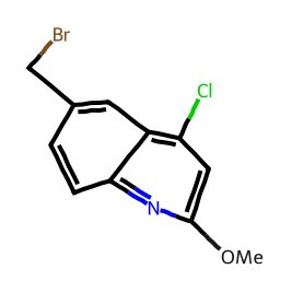 COc1cc(Cl)c2cc(CBr)ccc2n1